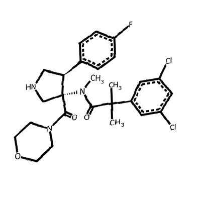 CN(C(=O)C(C)(C)c1cc(Cl)cc(Cl)c1)[C@]1(C(=O)N2CCOCC2)CNC[C@H]1c1ccc(F)cc1